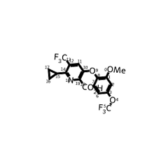 COc1cc(OC(F)(F)F)ccc1Oc1cc(C(F)(F)F)c(C2CC2)nc1C(=O)O